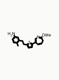 COC1=NC=C(c2ccc(CCc3cc(N)ccc3C)s2)C=CC1